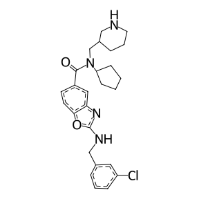 O=C(c1ccc2oc(NCc3cccc(Cl)c3)nc2c1)N(CC1CCCNC1)C1CCCC1